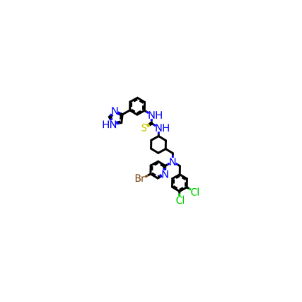 S=C(Nc1cccc(-c2c[nH]cn2)c1)NC1CCCC(CN(Cc2ccc(Cl)c(Cl)c2)c2ccc(Br)cn2)C1